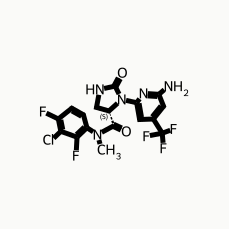 CN(C(=O)[C@@H]1CNC(=O)N1c1cc(C(F)(F)F)cc(N)n1)c1ccc(F)c(Cl)c1F